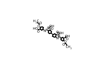 C=CC(=O)Oc1ccc(/N=N/c2ccc(-c3ccc(/N=N/c4ccc(OC(=O)C=C)c(C(=O)O)c4)c(S(=O)(=O)O)c3)cc2S(=O)(=O)O)cc1C(=O)O